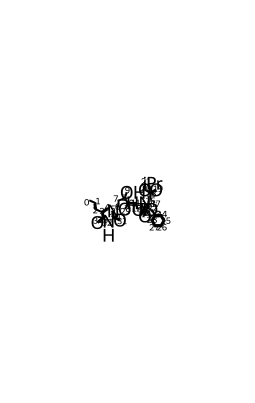 C/C=C/c1cn(C2CC(O)C(COP(=O)(N[C@@H](C)C(=O)OC(C)C)Oc3ccccc3)O2)c(=O)[nH]c1=O